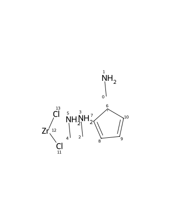 CN.CN.CN.[CH]1C=CC=C1.[Cl][Zr][Cl]